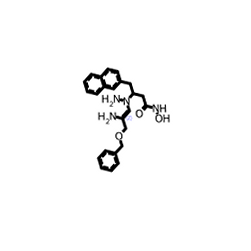 N/C(=C\N(N)C(CC(=O)NO)Cc1ccc2ccccc2c1)COCc1ccccc1